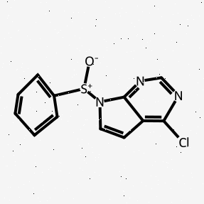 [O-][S+](c1ccccc1)n1ccc2c(Cl)ncnc21